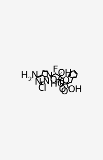 Nc1nc(Cl)nc2c1ccn2[C@@H]1O[C@@H]2C(OC(Cc3ccccc3)(C(=O)O)C(=O)O)[C@]2(O)[C@@H]1F